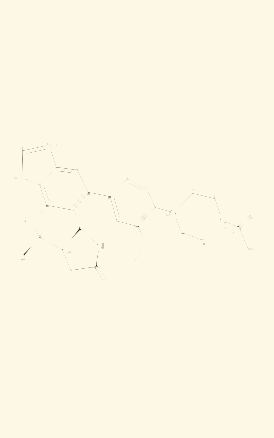 COc1cc(-c2cc(O[C@H](C)[C@H]3CNC(=O)C3)c3scnc3c2)ccc1N1CCN(C(C)=O)CC1